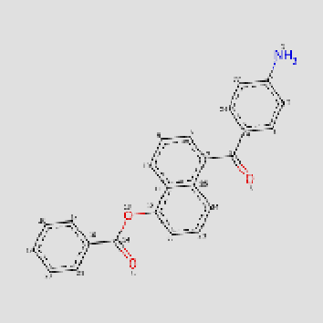 Nc1ccc(C(=O)c2cccc3c(OC(=O)c4ccccc4)cccc23)cc1